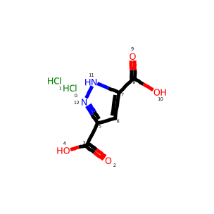 Cl.Cl.O=C(O)c1cc(C(=O)O)[nH]n1